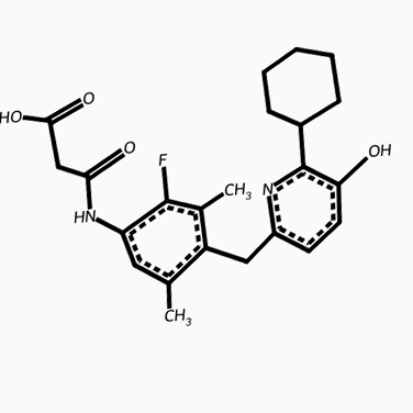 Cc1cc(NC(=O)CC(=O)O)c(F)c(C)c1Cc1ccc(O)c(C2CCCCC2)n1